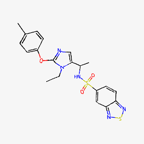 CCn1c(C(C)NS(=O)(=O)c2ccc3nsnc3c2)cnc1Oc1ccc(C)cc1